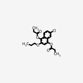 CCCOc1cc(OC(=O)CC)c2cc(Cl)ccc2c1OC(=O)CC